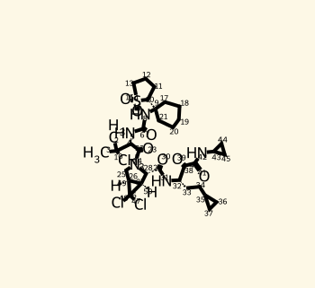 CC(C)(C)[C@H](NC(=O)NC1([C@H]2CCCS2(=O)=O)CCCCC1)C(=O)N1C[C@H]2[C@@H]([C@H]1C(=O)N[C@@H](CCC1CC1)C(=O)C(=O)NC1CC1)C2(Cl)Cl